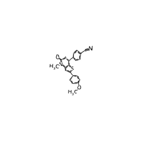 COc1ccc(-c2cc3c(s2)c(-c2ccc(C#N)cc2)cc(=O)n3C)cc1